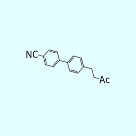 CC(=O)CCc1ccc(-c2ccc(C#N)cc2)cc1